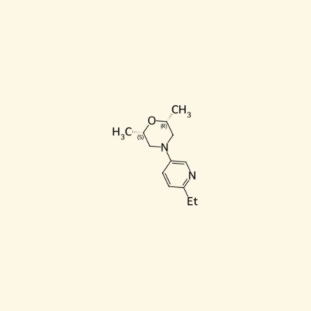 CCc1ccc(N2C[C@@H](C)O[C@@H](C)C2)cn1